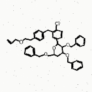 C=CCOCCc1ccc(Cc2cc(C3OC(COCc4ccccc4)CC(OCc4ccccc4)C3OCc3ccccc3)ccc2Cl)cc1